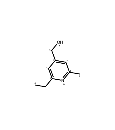 CCc1cc(CO)cc(C)n1